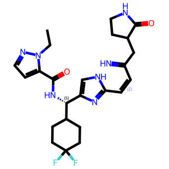 CCn1nccc1C(=O)N[C@H](c1c[nH]c(/C=C\C(=N)CC2CCNC2=O)n1)C1CCC(F)(F)CC1